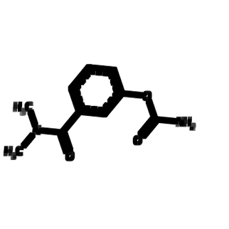 CN(C)C(=O)c1cccc(OC(N)=O)c1